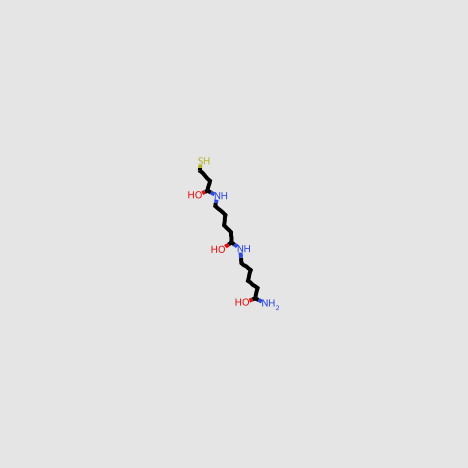 NC(O)CCCCNC(O)CCCCNC(O)CCS